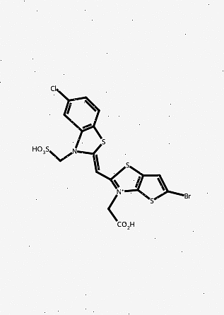 O=C(O)C[n+]1c(/C=C2\Sc3ccc(Cl)cc3N2CS(=O)(=O)O)sc2cc(Br)sc21